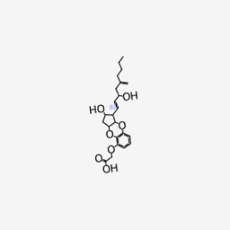 C=C(CCCC)CC(O)/C=C/C1C(O)CC2Oc3c(OCC(=O)O)cccc3OC21